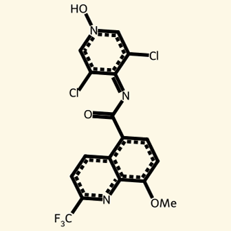 COc1ccc(C(=O)N=c2c(Cl)cn(O)cc2Cl)c2ccc(C(F)(F)F)nc12